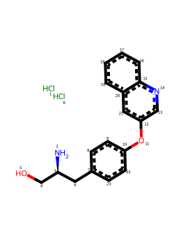 Cl.Cl.N[C@H](CO)Cc1ccc(Oc2cnc3ccccc3c2)cc1